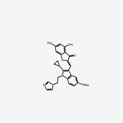 COc1ccc2c(c1)c(/C=C1\Oc3cc(O)cc(O)c3C1=O)c(C1CC1)n2CCn1ccnc1